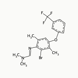 Cc1cc(Oc2cccc(C(F)(F)F)c2)c(C)c(Br)c1N=CN(C)C